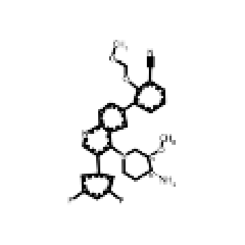 COCOc1c(C#N)cccc1-c1ccc2ncc(-c3cc(F)cc(F)c3)c(N3CC[C@@H](N)[C@H](OC)C3)c2c1